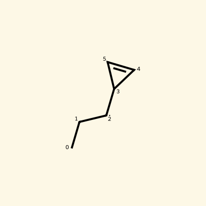 CC[CH]C1C=C1